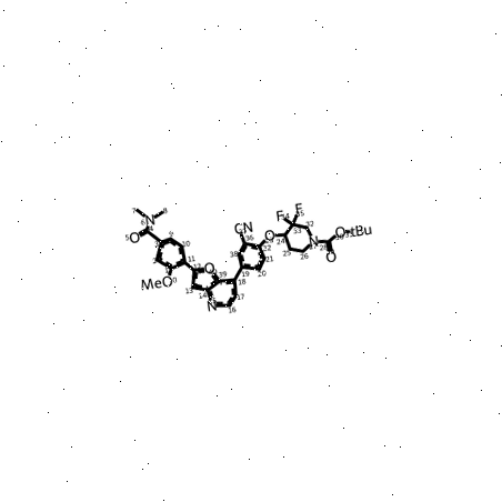 COc1cc(C(=O)N(C)C)ccc1-c1cc2nccc(-c3ccc(OC4CCN(C(=O)OC(C)(C)C)CC4(F)F)c(C#N)c3)c2o1